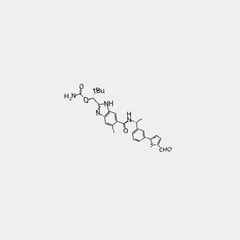 Cc1cc2nc([C@H](OC(N)=O)C(C)(C)C)[nH]c2cc1C(=O)NC(C)c1cccc(-c2ccc(C=O)s2)c1